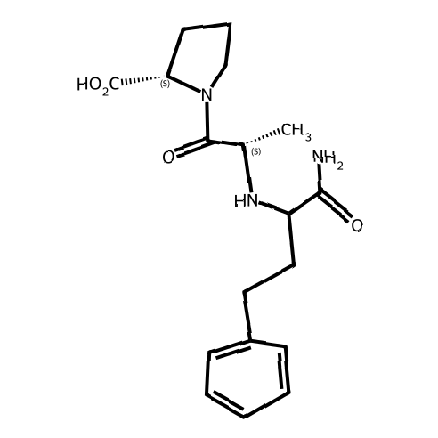 C[C@H](NC(CCc1ccccc1)C(N)=O)C(=O)N1CCC[C@H]1C(=O)O